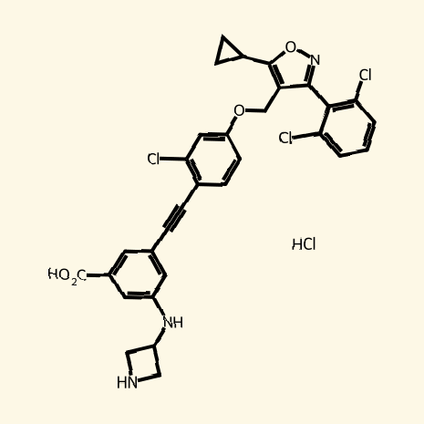 Cl.O=C(O)c1cc(C#Cc2ccc(OCc3c(-c4c(Cl)cccc4Cl)noc3C3CC3)cc2Cl)cc(NC2CNC2)c1